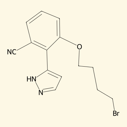 N#Cc1cccc(OCCCCBr)c1-c1ccn[nH]1